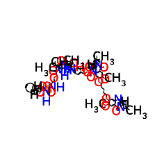 COc1cc2c(cc1OCCCCCOc1cc3c(cc1OC)C(=O)N1C=C(C)C[C@H]1[C@H](O)N3C(=O)OCc1ccc(NC(=O)[C@H](C)NC(=O)[C@@H](NC(=O)COCCNS(=O)(=O)NC(=O)O[C@@H]3[C@@H]4CCC#CCC[C@@H]43)C(C)C)cc1)N=C[C@@H]1CC(C)=CN1C2=O